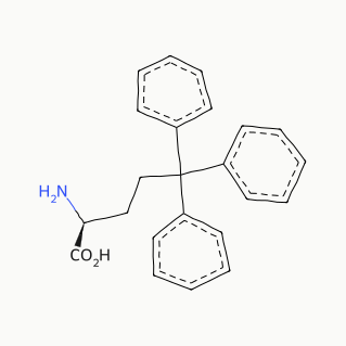 N[C@@H](CCC(c1ccccc1)(c1ccccc1)c1ccccc1)C(=O)O